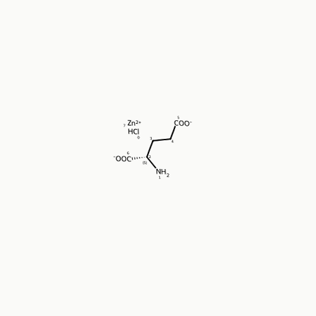 Cl.N[C@@H](CCC(=O)[O-])C(=O)[O-].[Zn+2]